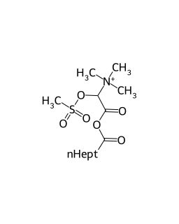 CCCCCCCC(=O)OC(=O)C(OS(C)(=O)=O)[N+](C)(C)C